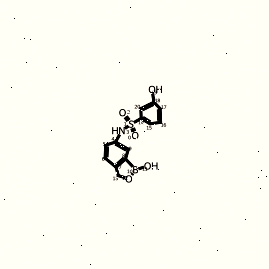 O=S(=O)(Nc1ccc2c(c1)B(O)OC2)c1cccc(O)c1